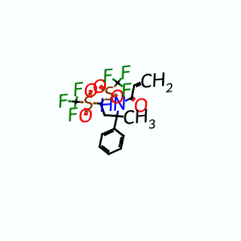 C=CC(=O)NC(C)(CC(S(=O)(=O)C(F)(F)F)S(=O)(=O)C(F)(F)F)c1ccccc1